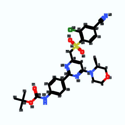 C[C@H]1COCCN1c1cc(CS(=O)(=O)c2ccc(C#N)cc2Cl)nc(-c2ccc(NC(=O)OC(C)(C)C)cc2)n1